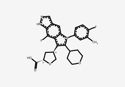 Cc1cc(-n2c(C3CCOCC3)c([C@H]3CO[C@H](C(=O)O)C3)c3c(F)c4[nH]ncc4cc32)ccc1F